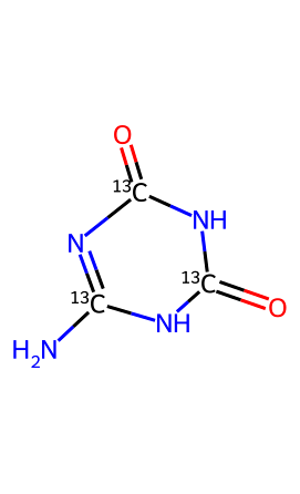 N[13c]1n[13c](=O)[nH][13c](=O)[nH]1